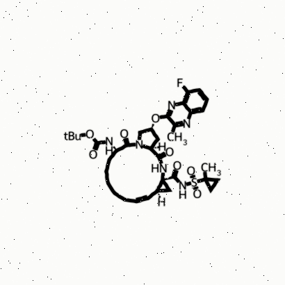 Cc1nc2cccc(F)c2nc1O[C@@H]1C[C@H]2C(=O)N[C@]3(C(=O)NS(=O)(=O)C4(C)CC4)C[C@H]3/C=C\CCCCC[C@H](NC(=O)OC(C)(C)C)C(=O)N2C1